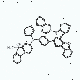 CC1(C)c2ccccc2-c2ccc(N(c3ccccc3)c3ccc(-c4cc5c6ccccc6oc5c5c6ccccc6n(-c6ccc7ccccc7c6)c45)cc3)cc21